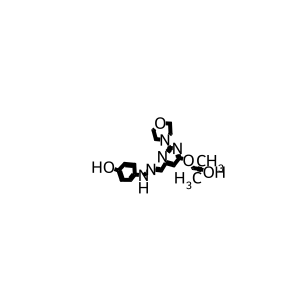 CC(C)(O)COc1cc(/C=N/Nc2ccc(O)cc2)nc(N2CCOCC2)n1